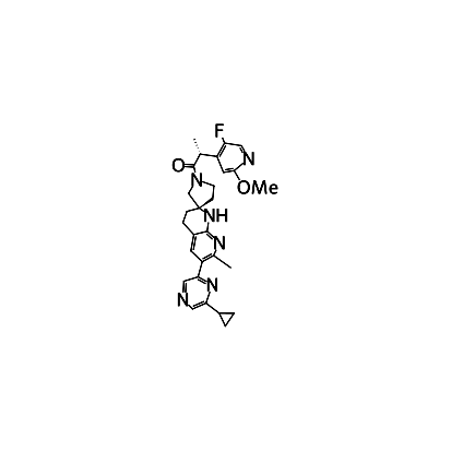 COc1cc([C@@H](C)C(=O)N2CC[C@@]3(CCc4cc(-c5cncc(C6CC6)n5)c(C)nc4N3)C2)c(F)cn1